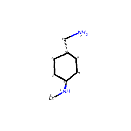 CCN[C@H]1CC[C@H](CN)CC1